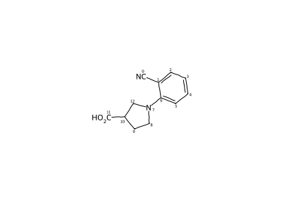 N#Cc1ccccc1N1CCC(C(=O)O)C1